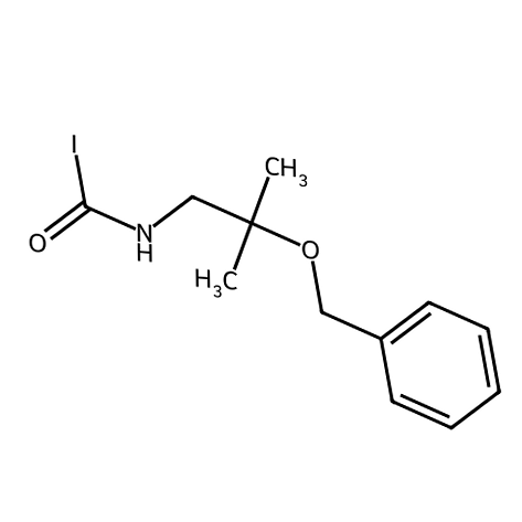 CC(C)(CNC(=O)I)OCc1ccccc1